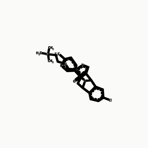 C[Si](C)(C)CCOCn1ncc2c1CC1c3ccc(Cl)cc3C2N1S(=O)(=O)c1ccc(C(F)(F)F)nc1